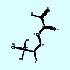 C=C(C)C(=O)OCC(C)[Si](C)(C)Cl